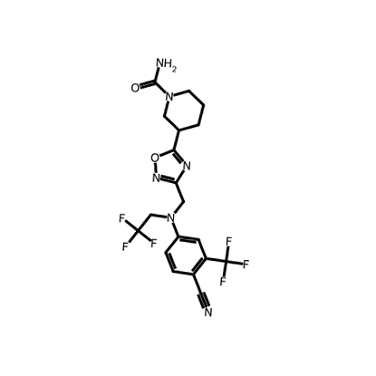 N#Cc1ccc(N(Cc2noc(C3CCCN(C(N)=O)C3)n2)CC(F)(F)F)cc1C(F)(F)F